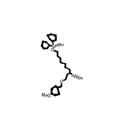 CCCCCCCCCC(CCCCCCCO[Si](c1ccccc1)(c1ccccc1)C(C)(C)C)CCOCc1ccc(OC)cc1